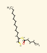 CCCCCCCCCCCC(C=S)SC(=O)CCCC